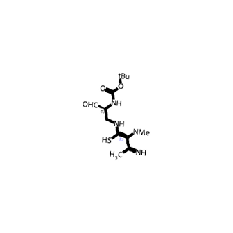 CN/C(C(C)=N)=C(/S)NC[C@@H](C=O)NC(=O)OC(C)(C)C